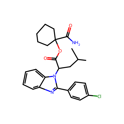 CC(C)CC(C(=O)OC1(C(N)=O)CCCCC1)n1c(-c2ccc(Cl)cc2)nc2ccccc21